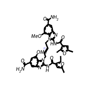 COc1cc(C(N)=O)cc2nc(NC(=O)c3cc(C)oc3C)n(C/C=C/Cn3c(NC(=O)c4cc(C)oc4C)nc4cc(C(N)=O)cc(OC)c43)c12